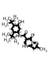 Cc1cc2[nH]cc(C(=O)Nc3cc(O)c(C(C)(C)C)cc3C(C)(C)C)c(=O)n2n1